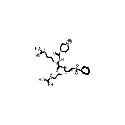 Br.Br.N=C(N)NCCC[C@@H](/C=C/S(=O)(=O)c1ccccc1)NC(=O)[C@H](CCCNC(=N)N)NC(=O)N1CCOCC1